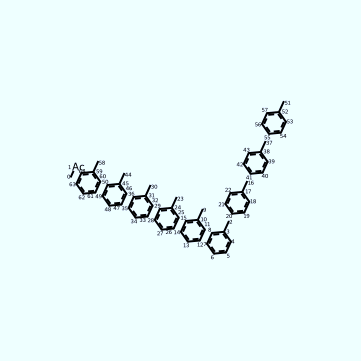 CC(C)=O.Cc1ccccc1.Cc1ccccc1.Cc1ccccc1.Cc1ccccc1.Cc1ccccc1.Cc1ccccc1.Cc1ccccc1.Cc1ccccc1.Cc1ccccc1